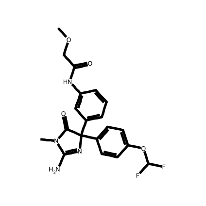 COCC(=O)Nc1cccc(C2(c3ccc(OC(F)F)cc3)N=C(N)N(C)C2=O)c1